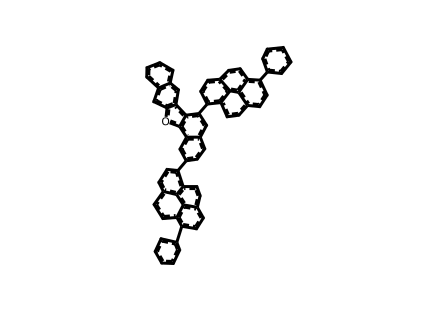 c1ccc(-c2ccc3ccc4c(-c5ccc6cc(-c7ccc8ccc9c(-c%10ccccc%10)ccc%10ccc7c8c%109)c7c8cc9ccccc9cc8oc7c6c5)ccc5ccc2c3c54)cc1